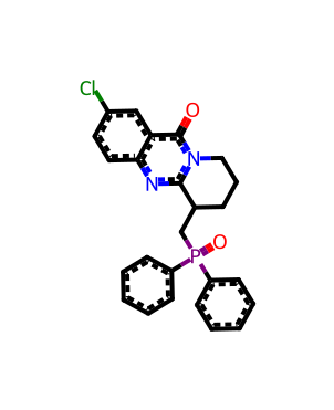 O=c1c2cc(Cl)ccc2nc2n1CCCC2CP(=O)(c1ccccc1)c1ccccc1